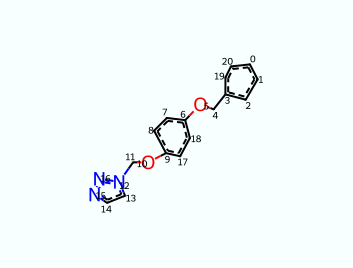 c1ccc(COc2ccc(OCn3ccnn3)cc2)cc1